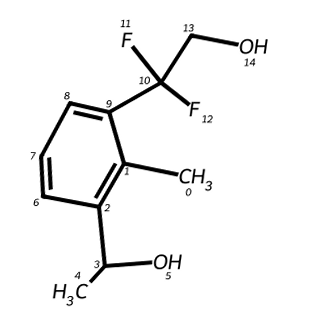 Cc1c(C(C)O)cccc1C(F)(F)CO